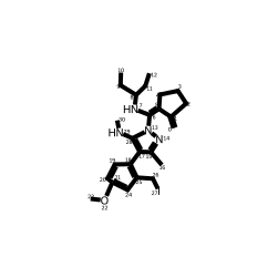 C=C1CCC/C1=C(\NC(CC)CC)n1nc(C)c(-c2ccc(OC)cc2CI)c1NC